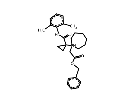 Cc1cccc(C)c1NC(=O)C1([PH]2(CC(=O)OCc3ccccc3)CCCCCC2)CC1